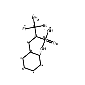 CCC(N)(CC)C(CC1CCCCC1)P(=O)(O)O